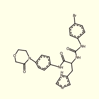 O=C(Nc1ccc(Br)cc1)NC(Cc1cnc[nH]1)C(=O)Nc1ccc(N2CCOCC2=O)cc1